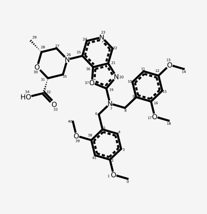 COc1ccc(CN(Cc2ccc(OC)cc2OC)c2nc3cncc(N4C[C@@H](C)O[C@@H](C(=O)O)C4)c3o2)c(OC)c1